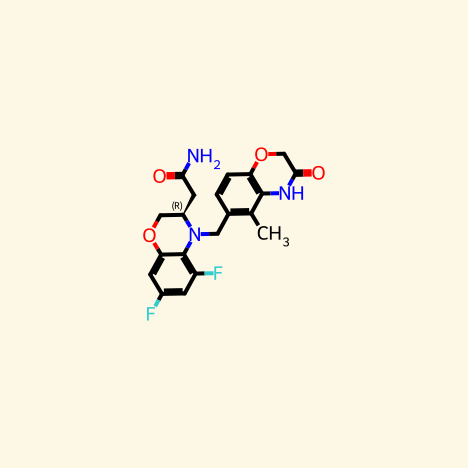 Cc1c(CN2c3c(F)cc(F)cc3OC[C@H]2CC(N)=O)ccc2c1NC(=O)CO2